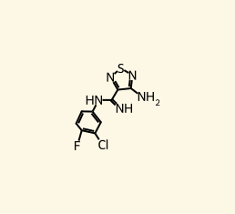 N=C(Nc1ccc(F)c(Cl)c1)c1nsnc1N